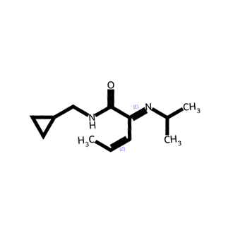 C/C=C\C(=N/C(C)C)C(=O)NCC1CC1